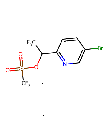 O=S(=O)(OC(c1ccc(Br)cn1)C(F)(F)F)C(F)(F)F